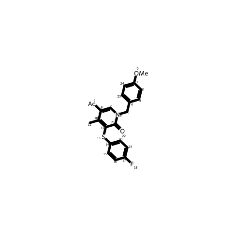 COc1ccc(Cn2cc(C(C)=O)c(C)c(Sc3ccc(F)cc3)c2=O)cc1